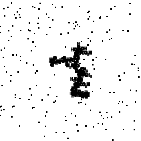 Cc1c(-c2ccc(N3CCc4cccc(C(=O)Nc5nc6ccccc6s5)c4C3)nc2C(=O)O)cnn1CC12CC3(C)CC(C)(C1)CC(OCCN(C)C(=O)OCc1ccc(O[C@@H]4O[C@H](C(=O)O)[C@@H](O)[C@H](O)[C@H]4O)cc1OCCCNC(=O)CCCCCN1C(=O)C=CC1=O)(C3)C2